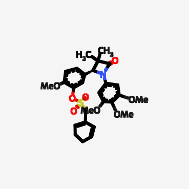 COc1ccc([C@@H]2N(c3cc(OC)c(OC)c(OC)c3)C(=O)C2(C)C)cc1OS(=O)(=O)CC1=CCCC=C1